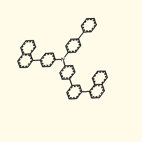 c1ccc(-c2ccc(N(c3ccc(-c4cccc(-c5cccc6ccccc56)c4)cc3)c3ccc(-c4cccc5ccccc45)cc3)cc2)cc1